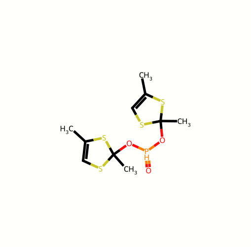 CC1=CSC(C)(O[PH](=O)OC2(C)SC=C(C)S2)S1